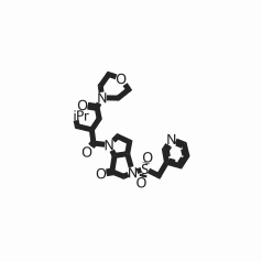 CC(C)CC(CC(=O)N1CCOCC1)C(=O)N1CCC2C1C(=O)CN2S(=O)(=O)Cc1cccnc1